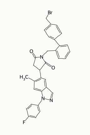 Cc1cc2c(cnn2-c2ccc(F)cc2)cc1C1CC(=O)N(Cc2ccccc2-c2ccc(CBr)cc2)C1=O